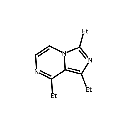 CCc1nccn2c(CC)nc(CC)c12